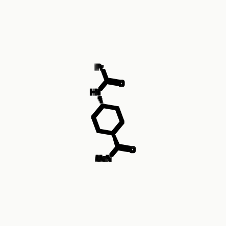 CNC(=O)[C@H]1CC[C@H](NC(=O)C(C)C)CC1